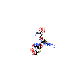 C=CC1=C(C(=O)O)N2C(=O)C(NC(=O)C(=NOCCC(N)C(=O)O)c3csc(N)n3)[C@@H]2SC1